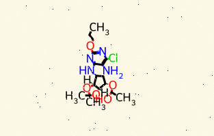 CCCOc1nc(Cl)c(N)c(N[C@@H]2C[C@H](OC(C)O)[C@H]3OC(C)(C)O[C@H]32)n1